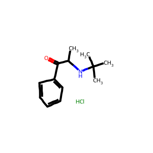 CC(NC(C)(C)C)C(=O)c1ccccc1.Cl